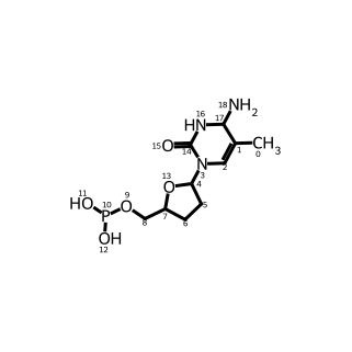 CC1=CN(C2CCC(COP(O)O)O2)C(=O)NC1N